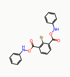 O=C(ONc1ccccc1)c1cccc(C(=O)ONc2ccccc2)c1Br